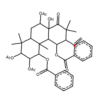 C=CC1C(OC(=O)c2ccccc2)C2C(O)(C(=O)C1(C)C)C(OC(C)=O)CC1C(C)(C)C(OC(C)=O)C(OC(C)=O)C(OC(=O)c3ccccc3)C12C